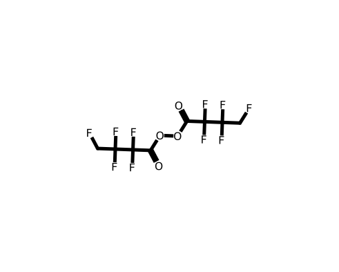 O=C(OOC(=O)C(F)(F)C(F)(F)CF)C(F)(F)C(F)(F)CF